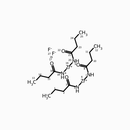 CCCC(=O)[NH][Zr+][NH]C(=O)CCC.CCCC(=O)[NH][Zr+][NH]C(=O)CCC.[F-].[F-]